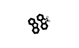 O=S1(=O)c2ccccc2-c2ccccc21.c1ccc2c(c1)Cc1ccccc1-2